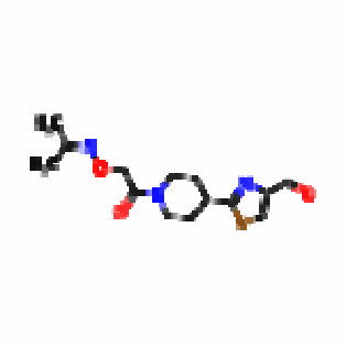 CC(C)=NOCC(=O)N1CCC(c2nc(C=O)cs2)CC1